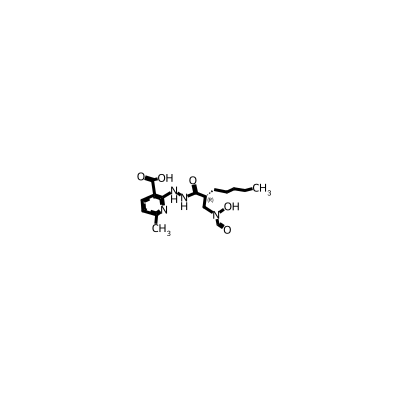 CCCCC[C@H](CN(O)C=O)C(=O)NNc1nc(C)ccc1C(=O)O